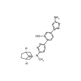 CN(c1ccc(-c2ccc(-n3cc(N)cn3)cc2O)nn1)[C@@H]1C[C@H]2CC[C@@H](C1)N2